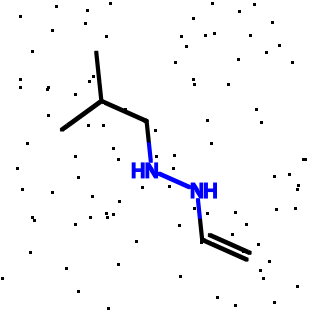 C=CNNCC(C)C